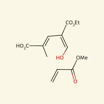 C=CC(=O)OC.CCOC(=O)C(C=C(C)C(=O)O)=CO